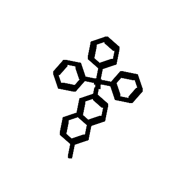 Cc1ccc2cc([AsH](c3ccccc3)(c3ccccc3)c3ccccc3)ccc2c1